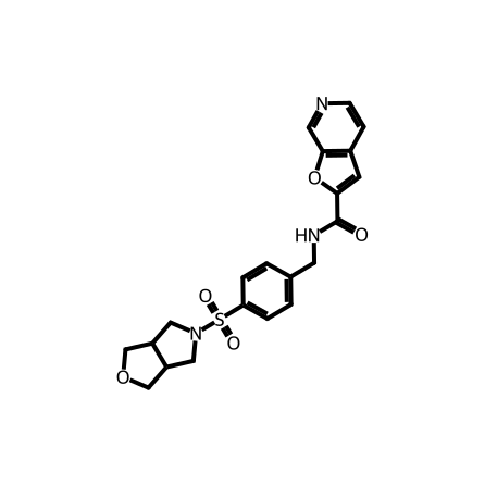 O=C(NCc1ccc(S(=O)(=O)N2CC3COCC3C2)cc1)c1cc2ccncc2o1